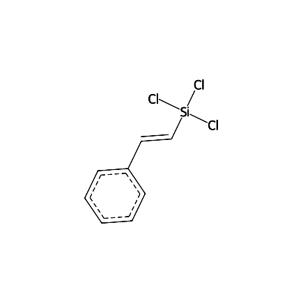 Cl[Si](Cl)(Cl)C=Cc1ccccc1